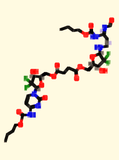 CCCCOC(=O)NC(/C=C\N[C@@H]1O[C@H](COC(=O)CCC(=O)OC[C@H]2O[C@@H](n3ccc(NC(=O)OCCCC)nc3=O)C(F)(F)[C@@H]2O)[C@@H](O)C1(F)F)=N/C=O